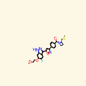 COCCOc1cc2[nH]nc(-c3cc(-c4ccc(C(=O)N5CC[C@@H]5CSC)cc4)no3)c2cc1F